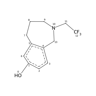 Oc1ccc2c(c1)CCCN(CC(F)(F)F)C2